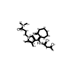 CC(=O)CC(=O)Nc1c2c(nc3c1c(C)c(C)n3CCC(=O)N(C)C)CCCCC2